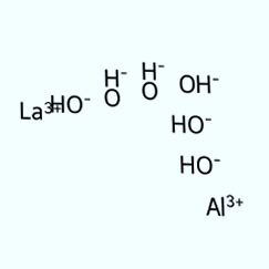 [Al+3].[La+3].[OH-].[OH-].[OH-].[OH-].[OH-].[OH-]